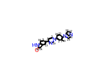 Cc1cc(N2C=CC(c3ccc4c(c3)CC(=O)N4)=NC2)ccc1N1CCN2CCC1C2